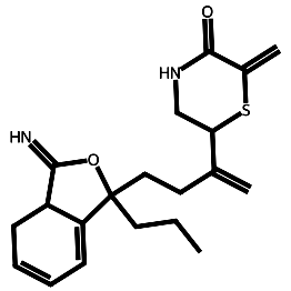 C=C1SC(C(=C)CCC2(CCC)OC(=N)C3CC=CC=C32)CNC1=O